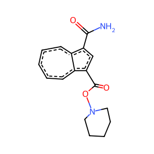 NC(=O)c1cc(C(=O)ON2CCCCC2)c2cccccc1-2